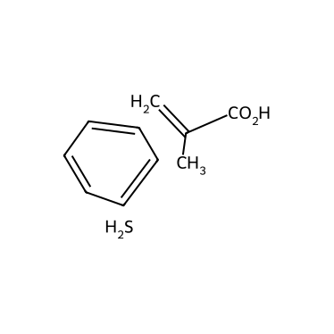 C=C(C)C(=O)O.S.c1ccccc1